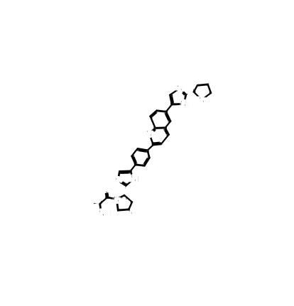 CC(C)[C@H](N)C(=O)N1C[C@H](O)C[C@H]1c1ncc(-c2ccc(-c3ccc4cc(-c5cnc([C@@H]6CCCN6)[nH]5)ccc4n3)cc2)[nH]1